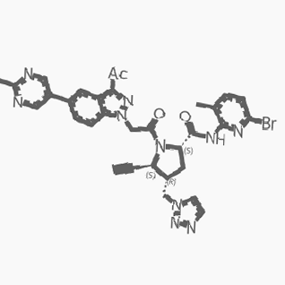 C#C[C@@H]1[C@@H](Cn2ccnn2)C[C@@H](C(=O)Nc2nc(Br)ccc2C)N1C(=O)Cn1nc(C(C)=O)c2cc(-c3cnc(C)nc3)ccc21